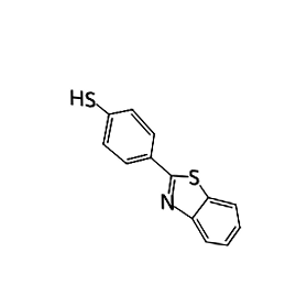 Sc1ccc(-c2nc3ccccc3s2)cc1